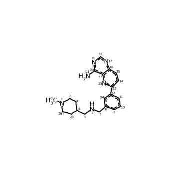 CN1CCC(CNCc2cccc(-c3ccc4ncnc(N)c4n3)c2)CC1